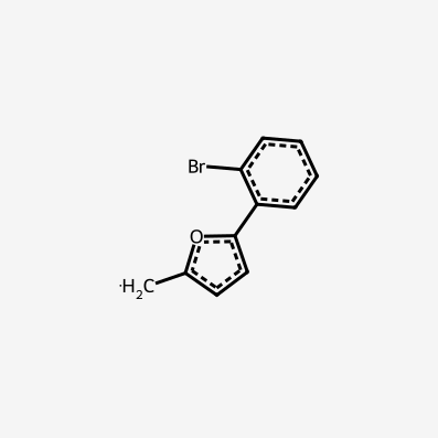 [CH2]c1ccc(-c2ccccc2Br)o1